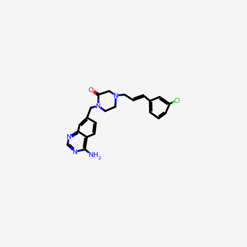 Nc1ncnc2cc(CN3CCN(CC=Cc4cccc(Cl)c4)CC3=O)ccc12